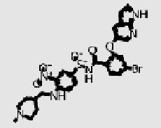 CN1CCC(CNc2ccc([S+]([O-])NC(=O)c3ccc(Br)cc3Oc3cnc4[nH]ccc4c3)cc2[N+](=O)[O-])CC1